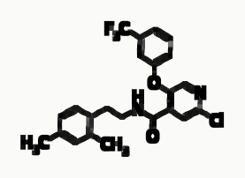 Cc1ccc(CCNC(=O)c2cc(Cl)ncc2Oc2cccc(C(F)(F)F)c2)c(C)c1